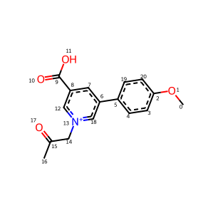 COc1ccc(-c2cc(C(=O)O)c[n+](CC(C)=O)c2)cc1